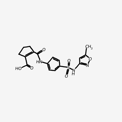 Cc1cc(NS(=O)(=O)c2ccc(NC(=O)C3=C(C(=O)O)CCC3)cc2)no1